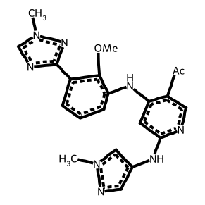 COc1c(Nc2cc(Nc3cnn(C)c3)ncc2C(C)=O)cccc1-c1ncn(C)n1